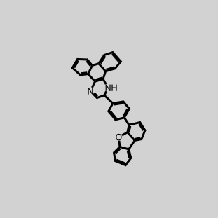 C1=Nc2c(c3ccccc3c3ccccc23)NC1c1ccc(-c2cccc3c2oc2ccccc23)cc1